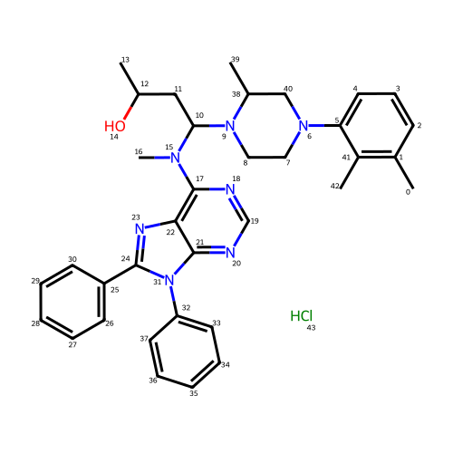 Cc1cccc(N2CCN(C(CC(C)O)N(C)c3ncnc4c3nc(-c3ccccc3)n4-c3ccccc3)C(C)C2)c1C.Cl